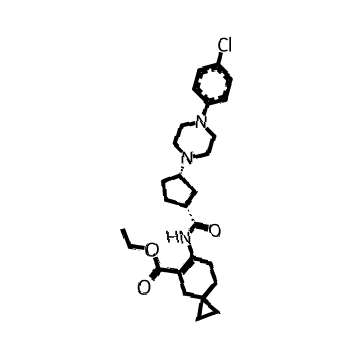 CCOC(=O)C1=C(NC(=O)[C@@H]2CC[C@H](N3CCN(c4ccc(Cl)cc4)CC3)C2)CCC2(CC2)C1